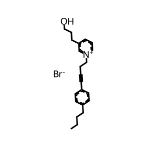 CCCCc1ccc(C#CCC[n+]2cccc(CCCO)c2)cc1.[Br-]